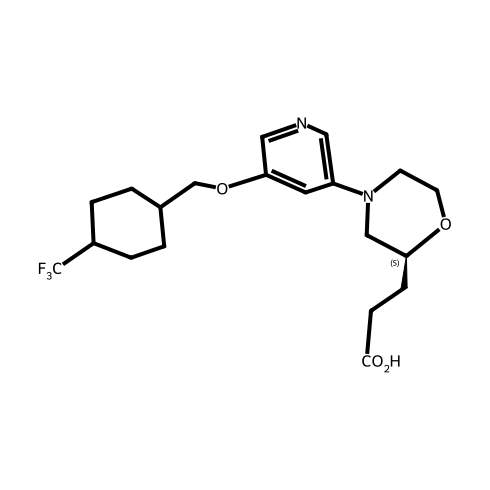 O=C(O)CC[C@H]1CN(c2cncc(OCC3CCC(C(F)(F)F)CC3)c2)CCO1